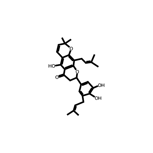 CC(C)=CCc1cc(C2CC(=O)c3c(O)c4c(c(CC=C(C)C)c3O2)OC(C)(C)C=C4)cc(O)c1O